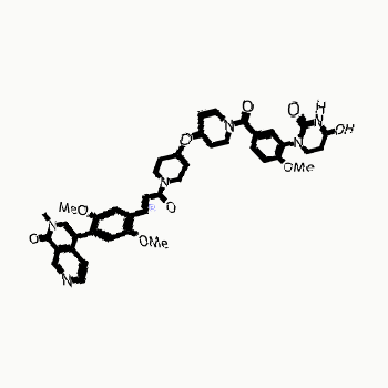 COc1cc(-c2cn(C)c(=O)c3cnccc23)c(OC)cc1/C=C/C(=O)N1CCC(OC2CCN(C(=O)c3ccc(OC)c(N4CCC(O)NC4=O)c3)CC2)CC1